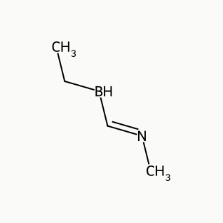 CCBC=NC